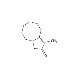 CC1=C2CCCCCCC2CC1=O